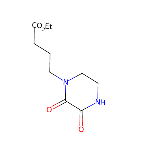 CCOC(=O)CCCN1CCNC(=O)C1=O